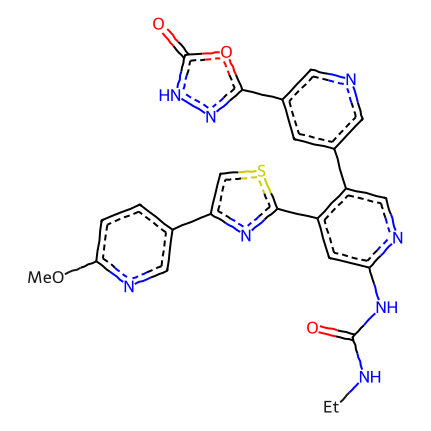 CCNC(=O)Nc1cc(-c2nc(-c3ccc(OC)nc3)cs2)c(-c2cncc(-c3n[nH]c(=O)o3)c2)cn1